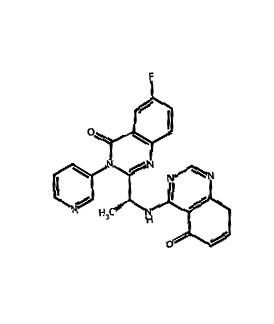 C[C@H](Nc1ncnc2c1C(=O)C=CC2)c1nc2ccc(F)cc2c(=O)n1-c1cccnc1